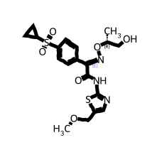 COCc1cnc(NC(=O)/C(=N/O[C@H](C)CO)c2ccc(S(=O)(=O)C3CC3)cc2)s1